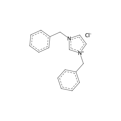 [Cl-].c1ccc(Cn2cc[n+](Cc3ccccc3)c2)cc1